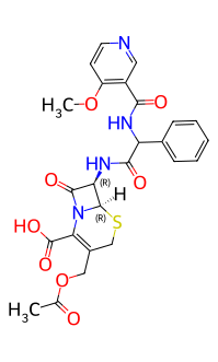 COc1ccncc1C(=O)NC(C(=O)N[C@@H]1C(=O)N2C(C(=O)O)=C(COC(C)=O)CS[C@H]12)c1ccccc1